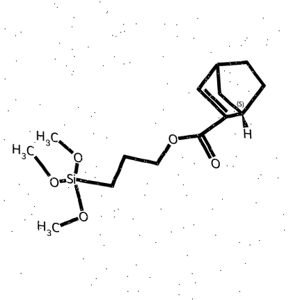 CO[Si](CCCOC(=O)C1=CC2CC[C@H]1C2)(OC)OC